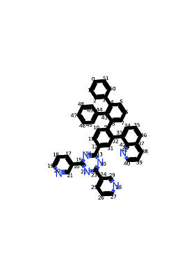 c1ccc(-c2cccc(-c3ccc(-c4nc(-c5cccnc5)nc(-c5cccnc5)n4)cc3-c3cccc4cccnc34)c2-c2ccccc2)cc1